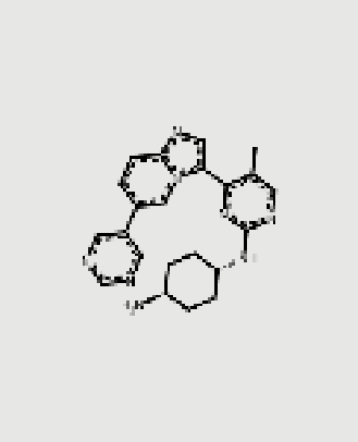 Cc1cnc(N[C@H]2CC[C@H](N)CC2)nc1-c1cnc2ccc(-c3cncnc3)cn12